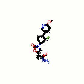 COc1ccc(-c2ccc(N3CC(C(C)C(N)=O)OC3=O)cc2F)cn1